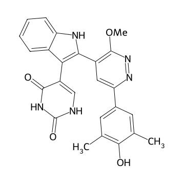 COc1nnc(-c2cc(C)c(O)c(C)c2)cc1-c1[nH]c2ccccc2c1-c1c[nH]c(=O)[nH]c1=O